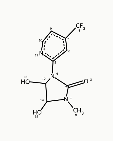 CN1C(=O)N(c2cc(C(F)(F)F)ccn2)C(O)C1O